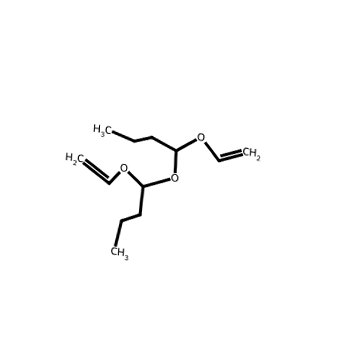 C=COC(CCC)OC(CCC)OC=C